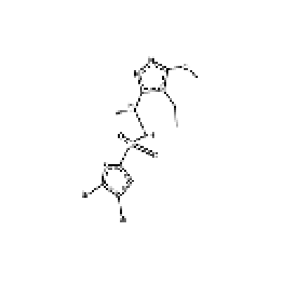 CCn1c(OC)nnc1[C@@H](C)NS(=O)(=O)c1cc(Br)c(Br)s1